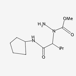 COC(=O)N(N)C(C(=O)NC1CCCC1)C(C)C